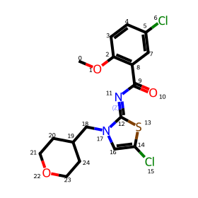 COc1ccc(Cl)cc1C(=O)/N=c1\sc(Cl)cn1CC1CCOCC1